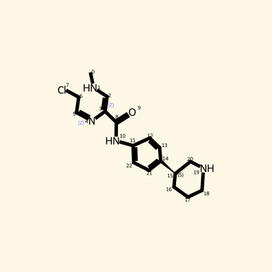 CN/C=C(\N=C/CCl)C(=O)Nc1ccc([C@@H]2CCCNC2)cc1